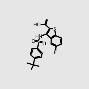 C=C(O)c1sc2ccc(F)cc2c1NS(=O)(=O)c1ccc(C(C)(C)C)cc1